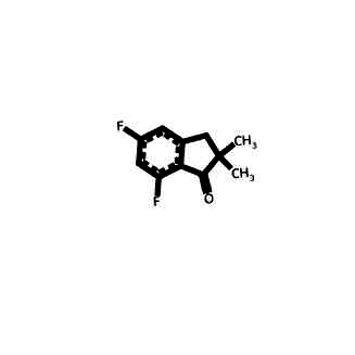 CC1(C)Cc2cc(F)cc(F)c2C1=O